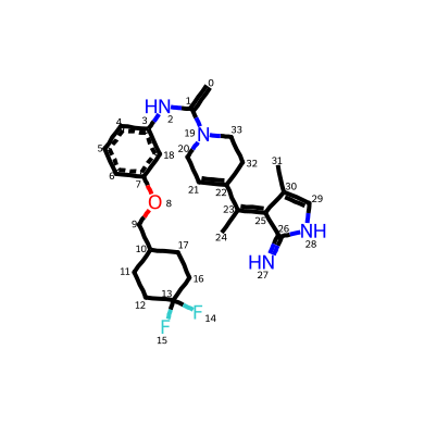 C=C(Nc1cccc(OCC2CCC(F)(F)CC2)c1)N1CC=C(/C(C)=C2/C(=N)NC=C2C)CC1